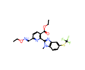 CCO/N=C/c1ccc(C(=O)OCC)c(-c2nc3cc(SC(F)(F)F)ccc3n2C)n1